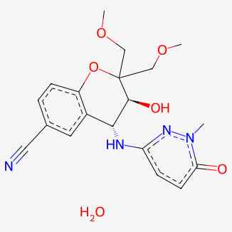 COCC1(COC)Oc2ccc(C#N)cc2[C@@H](Nc2ccc(=O)n(C)n2)[C@@H]1O.O